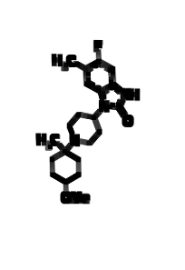 COC1CCC(C)(N2CCC(n3c(=O)[nH]c4cc(F)c(C)cc43)CC2)CC1